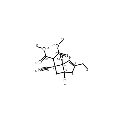 CCC1=C[C@@H]2[C@H](C1)C[C@]2(C#N)C(C(=O)OC)C(=O)OC